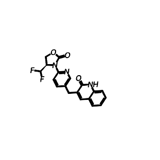 O=C1OC[C@H](C(F)F)N1c1ccc(Cc2cc3ccccc3[nH]c2=O)cn1